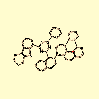 c1ccc(-c2nc(-c3c(-c4ccc(-c5ccccc5-c5ccccc5)c5ccccc45)ccc4ccccc34)nc(-c3cccc4c3sc3ccccc34)n2)cc1